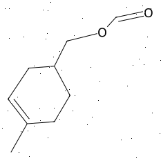 CC1=CCC(COC=O)CC1